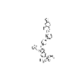 CP(C)(=O)c1ccc2c(c1)nc(CN1CCC(c3cccc(OCc4ccc(Cl)cc4F)n3)CC1)n2CC1CCO1